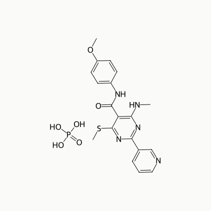 CNc1nc(-c2cccnc2)nc(SC)c1C(=O)Nc1ccc(OC)cc1.O=P(O)(O)O